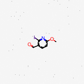 COc1ccc(C=O)c(I)n1